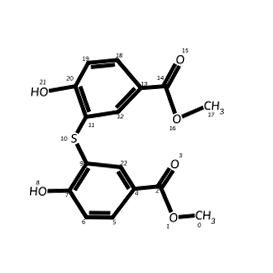 COC(=O)c1ccc(O)c(Sc2cc(C(=O)OC)ccc2O)c1